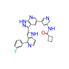 O=C(Nc1cncc(-c2cnc3[nH]nc(-c4cc5c(-c6cccc(F)c6)nccc5[nH]4)c3c2)c1)C1CCC1